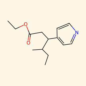 CCOC(=O)CC(c1ccncc1)C(C)CC